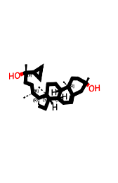 C[C@H](CC[C@](C)(O)C1CC1)[C@H]1CC[C@H]2[C@@H]3CC=C4C[C@@](C)(O)CC[C@]4(C)[C@H]3CC[C@]12C